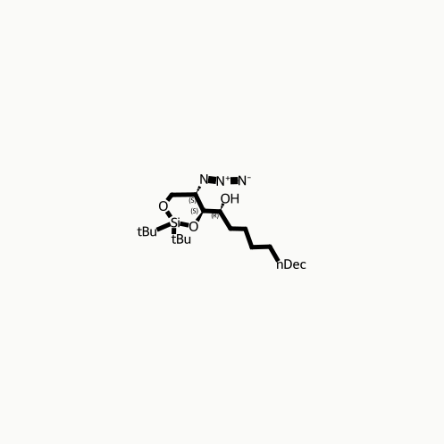 CCCCCCCCCCCCCC[C@@H](O)[C@H]1O[Si](C(C)(C)C)(C(C)(C)C)OC[C@@H]1N=[N+]=[N-]